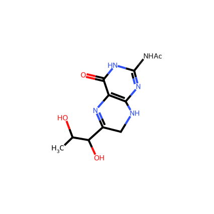 CC(=O)Nc1nc2c(c(=O)[nH]1)N=C(C(O)C(C)O)CN2